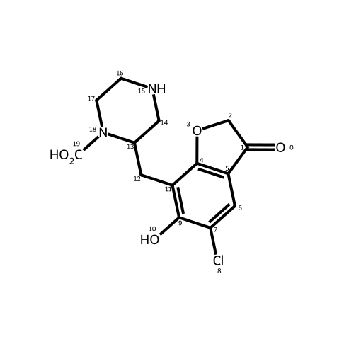 O=C1COc2c1cc(Cl)c(O)c2CC1CNCCN1C(=O)O